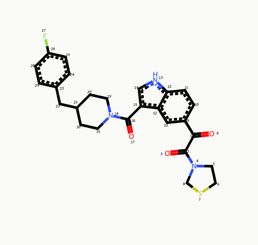 O=C(C(=O)N1CCSC1)c1ccc2[nH]cc(C(=O)N3CCC(Cc4ccc(F)cc4)CC3)c2c1